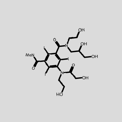 CNC(=O)c1c(I)c(C(=O)N(CCO)CC(O)CO)c(I)c(N(CCO)C(=O)CO)c1I